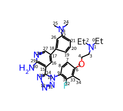 CCN(CC)CCOc1ccc(-n2nnnc2-c2cc(-c3cccc(N(C)C)c3)cnc2N)c(F)c1C